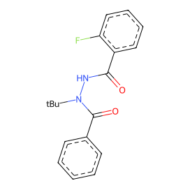 CC(C)(C)N(NC(=O)c1ccccc1F)C(=O)c1ccccc1